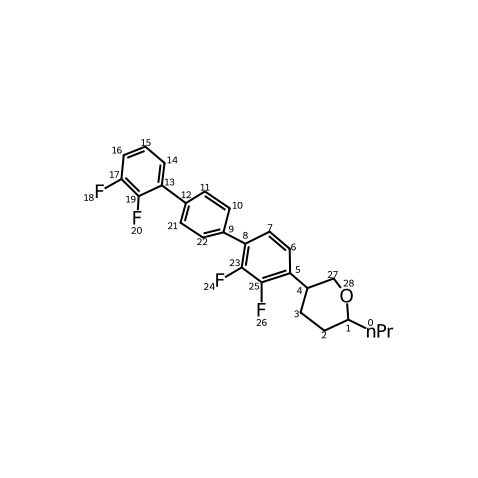 CCCC1CCC(c2ccc(-c3ccc(-c4cccc(F)c4F)cc3)c(F)c2F)CO1